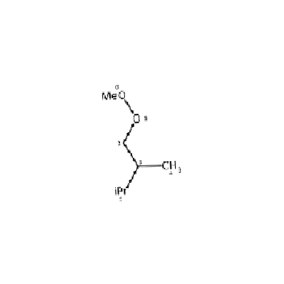 COOCC(C)C(C)C